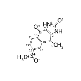 CCc1[nH]c(=O)[nH]c1C(=O)c1ccc([S+](C)[O-])cc1